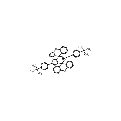 CC(C)(C)c1ccc(-c2cc3c(o2)C2(c4ccccc4Oc4ccccc42)c2cc(-c4ccc(C(C)(C)C)cc4)oc2C32c3ccccc3Oc3ccccc32)cc1